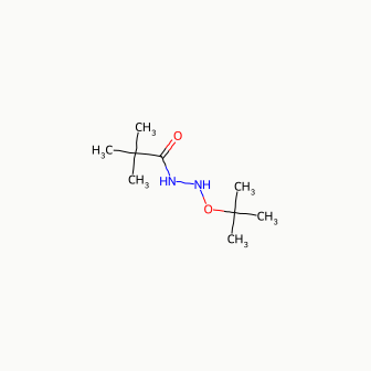 CC(C)(C)ONNC(=O)C(C)(C)C